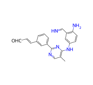 Cc1cnc(-c2cccc(/C=C/C=O)c2)nc1Nc1ccc(N)c(C=N)c1